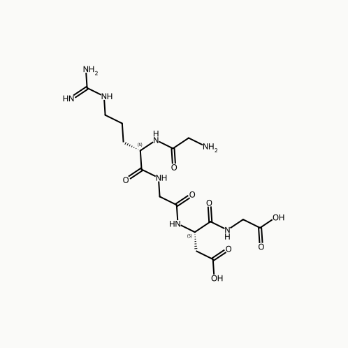 N=C(N)NCCC[C@H](NC(=O)CN)C(=O)NCC(=O)N[C@@H](CC(=O)O)C(=O)NCC(=O)O